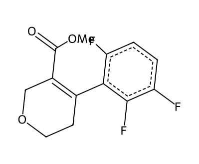 COC(=O)C1=C(c2c(F)ccc(F)c2F)CCOC1